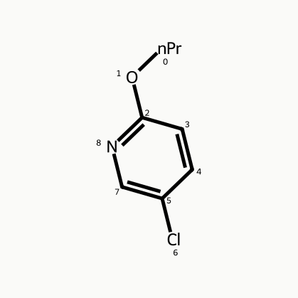 CCCOc1ccc(Cl)cn1